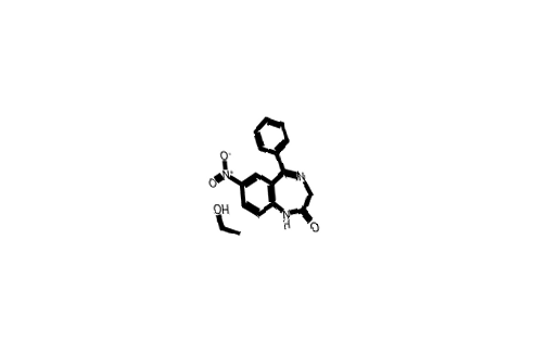 CCO.O=C1CN=C(c2ccccc2)c2cc([N+](=O)[O-])ccc2N1